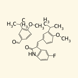 COc1ccc(/C=C2/C(=O)Nc3ccc(F)cc32)cc1C(C)C.COc1ccc(C=O)cc1C(C)C